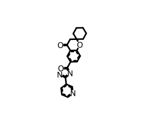 O=C1CC2(CCCCC2)Oc2ccc(-c3nc(-c4cccnc4)no3)cc21